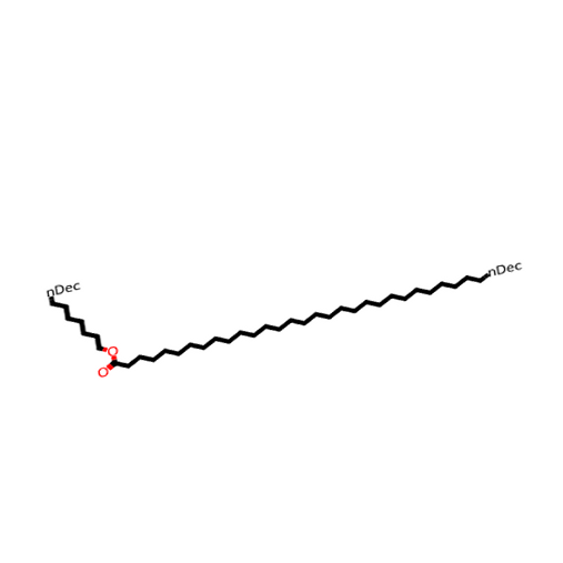 CCCCCCCCCCCCCCCCCCCCCCCCCCCCCCCCCCCCCCCC(=O)OCCCCCCCCCCCCCCCCC